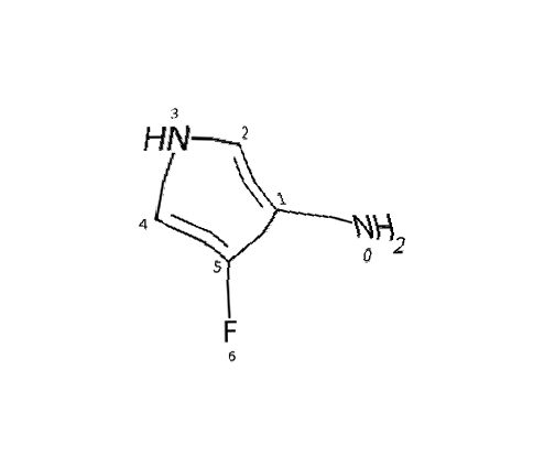 Nc1c[nH]cc1F